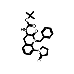 CC(C)(C)OC(=O)NC1Cc2cccc(N3CCCC3=O)c2N(Cc2ccccc2)C1=O